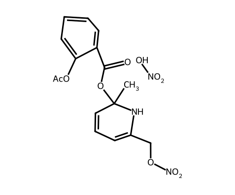 CC(=O)Oc1ccccc1C(=O)OC1(C)C=CC=C(CO[N+](=O)[O-])N1.O=[N+]([O-])O